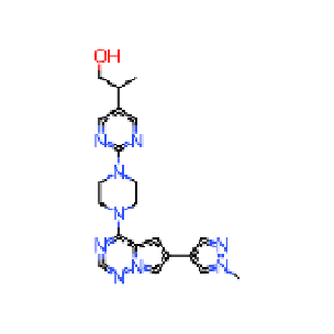 CC(CO)c1cnc(N2CCN(c3ncnn4cc(-c5cnn(C)c5)cc34)CC2)nc1